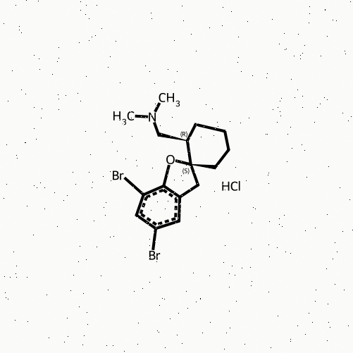 CN(C)C[C@H]1CCCC[C@]12Cc1cc(Br)cc(Br)c1O2.Cl